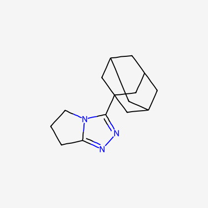 C1Cc2nnc(C34CC5CC(CC(C5)C3)C4)n2C1